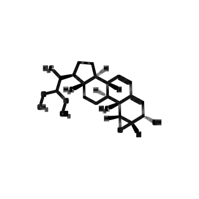 COC(OC)C(C)[C@H]1CC[C@H]2[C@@H]3C=CC4=C[C@H](O)[C@@H]5O[C@@H]5[C@]4(C)[C@H]3CC[C@]12C